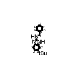 CC(C)(C)c1ccc2nc(NCc3ccccc3)[nH]c2c1